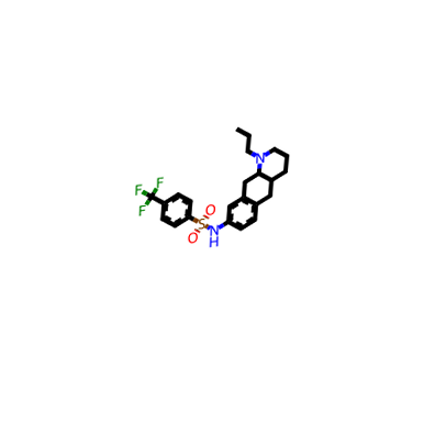 CCCN1CCCC2Cc3ccc(NS(=O)(=O)c4ccc(C(F)(F)F)cc4)cc3CC21